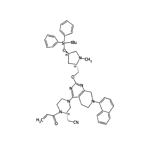 C=CC(=O)N1CCN(c2nc(OC[C@@H]3C[C@@H](O[Si](c4ccccc4)(c4ccccc4)C(C)(C)C)CN3C)nc3c2CCN(c2cccc4ccccc24)C3)C[C@@H]1CC#N